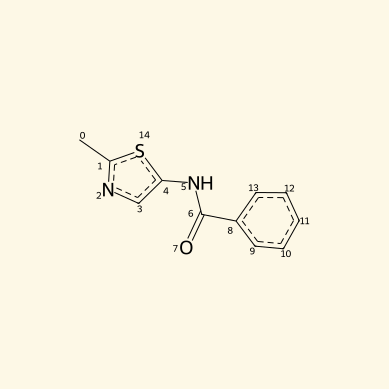 Cc1ncc(NC(=O)c2ccccc2)s1